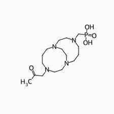 CC(=O)CN1CCCN2CCN(CCCN(CP(=O)(O)O)CC2)CC1